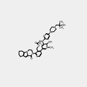 CC(=O)OCc1c(C2=CN(C)C(O)C(Nc3ccc(N4CCN(CC(C)(C)O)CC4)cn3)=C2)ccnc1N1CCn2c(cc3c2CCCC3)C1=O